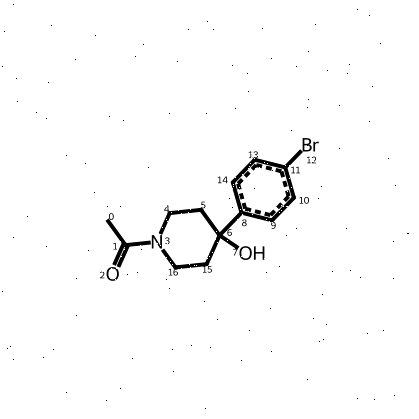 CC(=O)N1CCC(O)(c2ccc(Br)cc2)CC1